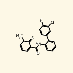 CC1C=CC=C(C(=O)Nc2ccccc2-c2ccc(F)c(Cl)c2)C1=S